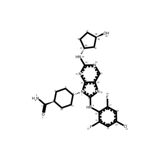 NC(=O)[C@H]1CC[C@H](n2c(Nc3c(F)cc(Cl)cc3F)nc3cnc(N[C@@H]4CC[C@@H](O)C4)nc32)CC1